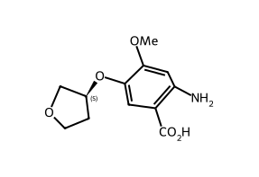 COc1cc(N)c(C(=O)O)cc1O[C@H]1CCOC1